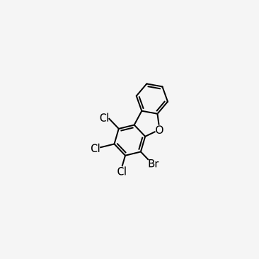 Clc1c(Cl)c(Cl)c2c(oc3ccccc32)c1Br